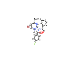 COc1cccc(C(C)N2c3nccc[n+]3CC2(O)c2ccc(F)cc2)c1.[Br-]